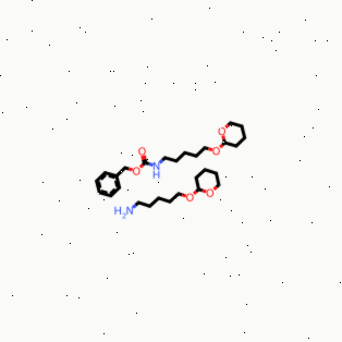 NCCCCCOC1CCCCO1.O=C(NCCCCCOC1CCCCO1)OCc1ccccc1